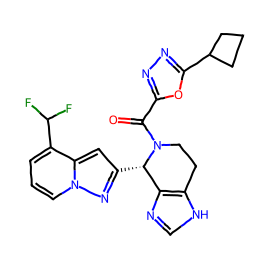 O=C(c1nnc(C2CCC2)o1)N1CCc2[nH]cnc2[C@@H]1c1cc2c(C(F)F)cccn2n1